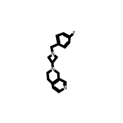 Fc1ccc(CN2CC(N3CCc4ccncc4C3)C2)cc1